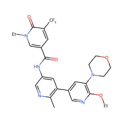 CCOc1ncc(-c2cc(NC(=O)c3cc(C(F)(F)F)c(=O)n(CC)c3)cnc2C)cc1N1CCOCC1